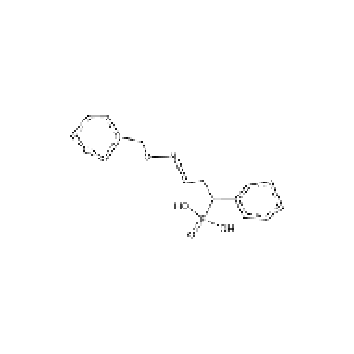 O=P(O)(O)C(CC=NOCc1ccccc1)c1ccccc1